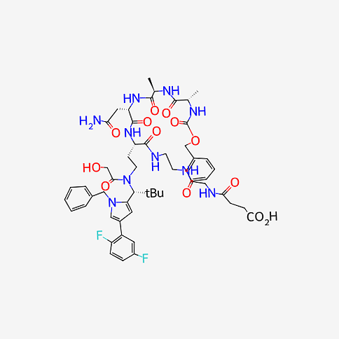 C[C@H](NC(=O)OCc1ccccc1)C(=O)N[C@H](C)C(=O)N[C@@H](CC(N)=O)C(=O)N[C@@H](CCN(C(=O)CO)[C@@H](c1cc(-c2cc(F)ccc2F)cn1Cc1ccccc1)C(C)(C)C)C(=O)NCCNC(=O)CNC(=O)CCC(=O)O